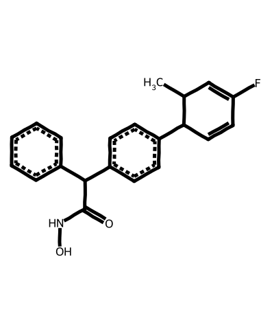 CC1C=C(F)C=CC1c1ccc(C(C(=O)NO)c2ccccc2)cc1